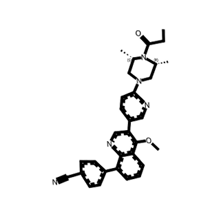 CCC(=O)N1[C@H](C)CN(c2ccc(-c3cnc4c(-c5ccc(C#N)cc5)cccc4c3OC)cn2)C[C@@H]1C